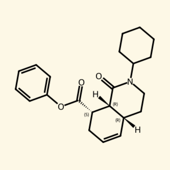 O=C(Oc1ccccc1)[C@H]1CC=C[C@H]2CCN(C3CCCCC3)C(=O)[C@@H]12